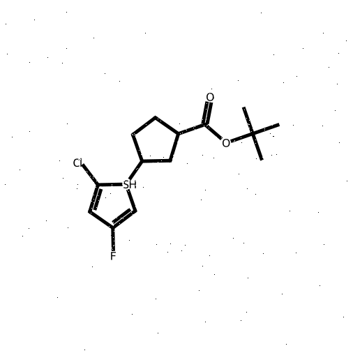 CC(C)(C)OC(=O)C1CCC([SH]2C=C(F)C=C2Cl)C1